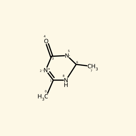 CC1=[N+]C(=O)[N]C(C)N1